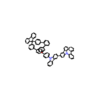 c1ccc(-c2ccccc2-c2ccc(C3(c4cccc(-c5ccc(-c6ccc(-n7c8ccccc8c8cc(-c9ccc%10c(c9)c9ccccc9n%10-c9ccccc9-c9ccccc9)ccc87)cc6)cc5)c4)c4ccccc4-c4ccccc43)cc2)cc1